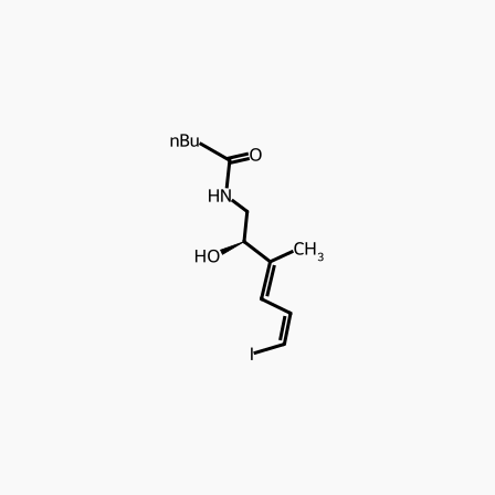 CCCCC(=O)NC[C@H](O)/C(C)=C/C=C\I